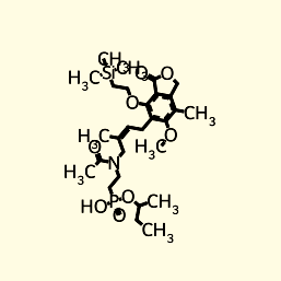 CCC(C)OP(=O)(O)CCN(CC(C)=CCc1c(OC)c(C)c2c(c1OCC[Si](C)(C)C)C(=O)OC2)C(C)=O